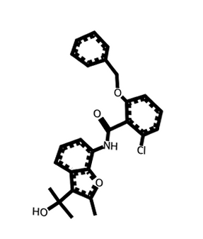 Cc1oc2c(NC(=O)c3c(Cl)cccc3OCc3ccccc3)cccc2c1C(C)(C)O